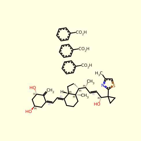 C=C1/C(=C\C=C2/CCC[C@]3(C)[C@@H]([C@H](C)/C=C/[C@@H](O)C4(c5nc(C)cs5)CC4)CC[C@@H]23)C[C@@H](O)C[C@@H]1O.O=C(O)c1ccccc1.O=C(O)c1ccccc1.O=C(O)c1ccccc1